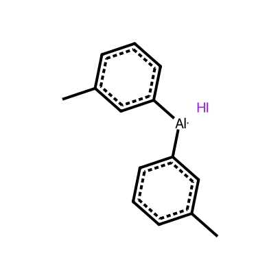 Cc1ccc[c]([Al][c]2cccc(C)c2)c1.I